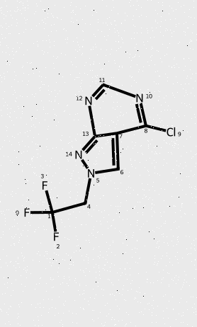 FC(F)(F)Cn1cc2c(Cl)ncnc2n1